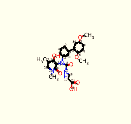 COc1ccc(OC)c(-c2cccc(N(C(=O)NCCC(=O)O)c3c(O)c(C)cn(C)c3=O)c2)c1